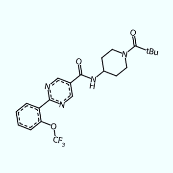 CC(C)(C)C(=O)N1CCC(NC(=O)c2cnc(-c3ccccc3OC(F)(F)F)nc2)CC1